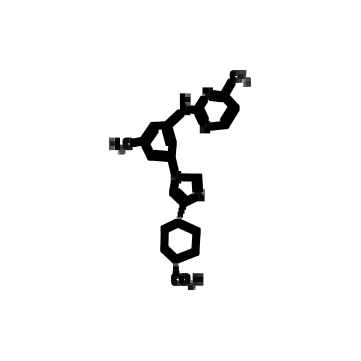 Cc1cc(Nc2nccc(C(F)(F)F)n2)cc(-n2cnc([C@H]3CC[C@@H](C(=O)O)CC3)c2)c1